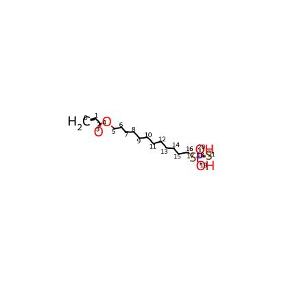 C=CC(=O)OCCCCCCCCCCCCSP(O)(O)=S